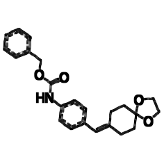 O=C(Nc1ccc(C=C2CCC3(CC2)OCCO3)cc1)OCc1ccccc1